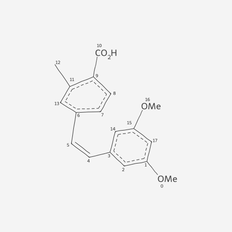 COc1cc(/C=C\c2ccc(C(=O)O)c(C)c2)cc(OC)c1